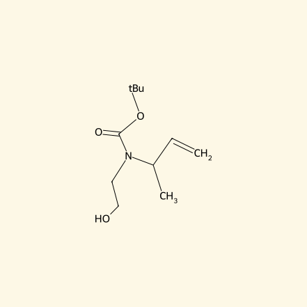 C=CC(C)N(CCO)C(=O)OC(C)(C)C